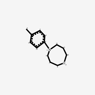 Cc1ccc(N2CCCOCCC2)cc1